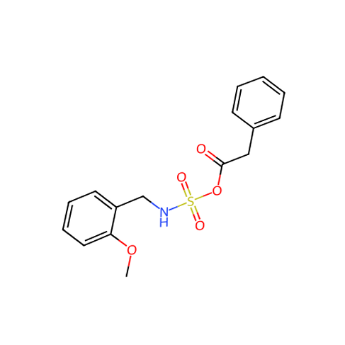 COc1ccccc1CNS(=O)(=O)OC(=O)Cc1ccccc1